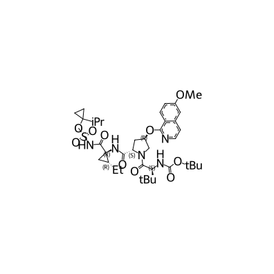 CC[C@@H]1C[C@]1(NC(=O)[C@@H]1C[C@@H](Oc2nccc3cc(OC)ccc23)CN1C(=O)[C@@H](NC(=O)OC(C)(C)C)C(C)(C)C)C(=O)NS(=O)(=O)OC1(C(C)C)CC1